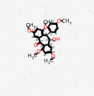 COc1ccc([C@@H]2c3c(OC)cc(OC)cc3C(=O)c3c(OC)cc(OC)cc3[C@H]2O)cc1